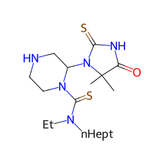 CCCCCCCN(CC)C(=S)N1CCNCC1N1C(=S)NC(=O)C1(C)C